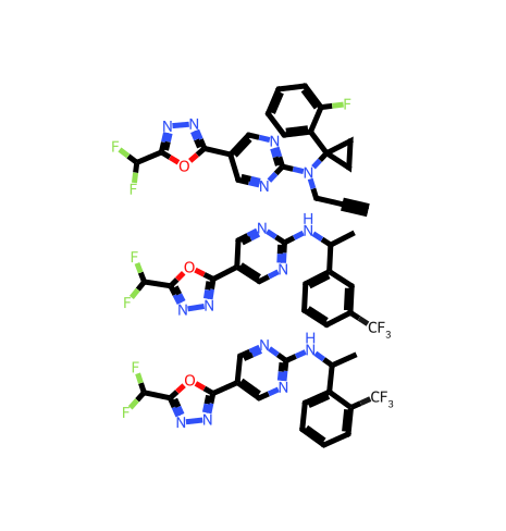 C#CCN(c1ncc(-c2nnc(C(F)F)o2)cn1)C1(c2ccccc2F)CC1.CC(Nc1ncc(-c2nnc(C(F)F)o2)cn1)c1cccc(C(F)(F)F)c1.CC(Nc1ncc(-c2nnc(C(F)F)o2)cn1)c1ccccc1C(F)(F)F